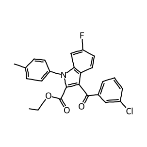 CCOC(=O)c1c(C(=O)c2cccc(Cl)c2)c2ccc(F)cc2n1-c1ccc(C)cc1